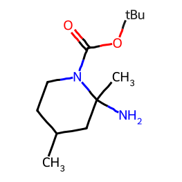 CC1CCN(C(=O)OC(C)(C)C)C(C)(N)C1